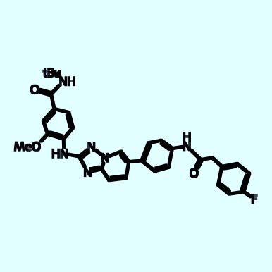 COc1cc(C(=O)NC(C)(C)C)ccc1Nc1nc2ccc(-c3ccc(NC(=O)Cc4ccc(F)cc4)cc3)cn2n1